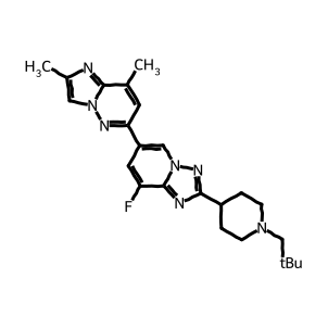 Cc1cn2nc(-c3cc(F)c4nc(C5CCN(CC(C)(C)C)CC5)nn4c3)cc(C)c2n1